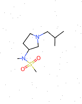 C[C](C)CN1CCC(N(C)S(C)(=O)=O)C1